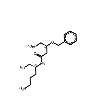 CCCCCCCCCCC[C@H](CC(=O)N[C@@H](CO)CCCN)OCc1ccccc1